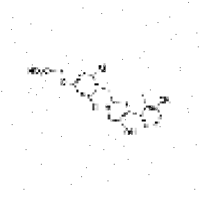 O=C(O)COc1cc(Cl)c(Cc2ccc(O)c(-c3cccc(C(F)(F)F)c3F)c2)c(Cl)c1